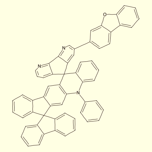 c1ccc(N2c3ccccc3C3(c4cc5c(cc42)C2(c4ccccc4-c4ccccc42)c2ccccc2-5)c2cccnc2-c2ncc(-c4ccc5c(c4)oc4ccccc45)cc23)cc1